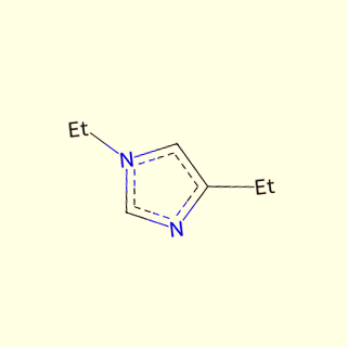 [CH2]Cc1cn(CC)cn1